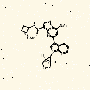 CNc1cc(-c2cn(C3[C@H]4COC[C@@H]34)c3ncccc23)nc2c(C(=O)NC3CC[C@@H]3OC)cnn12